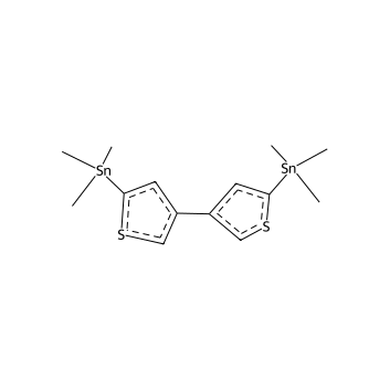 [CH3][Sn]([CH3])([CH3])[c]1cc(-c2cs[c]([Sn]([CH3])([CH3])[CH3])c2)cs1